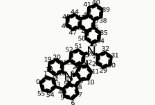 c1ccc(-c2cccc3c4ccccc4n(-c4ccccc4-c4ccc(N(c5ccccc5)c5ccc6c7ccccc7c7ccccc7c6c5)cc4)c23)cc1